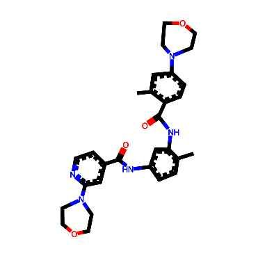 Cc1ccc(NC(=O)c2ccnc(N3CCOCC3)c2)cc1NC(=O)c1ccc(N2CCOCC2)cc1C